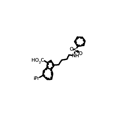 CC(C)c1cccc2c(CCCCNS(=O)(=O)c3ccccc3)cc(C(=O)O)c-2c1